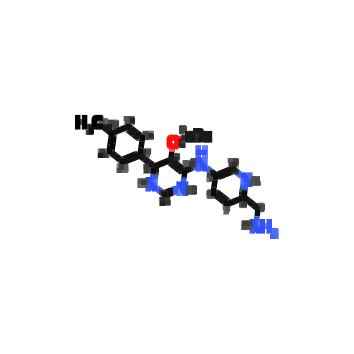 CCCCOc1c(Nc2ccc(CN)nc2)ncnc1-c1ccc(C)cc1